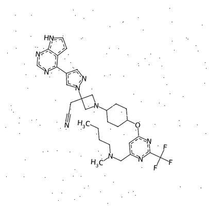 CCCCN(C)Cc1cc(OC2CCC(N3CC(CC#N)(n4cc(-c5ncnc6[nH]ccc56)cn4)C3)CC2)nc(C(F)(F)F)n1